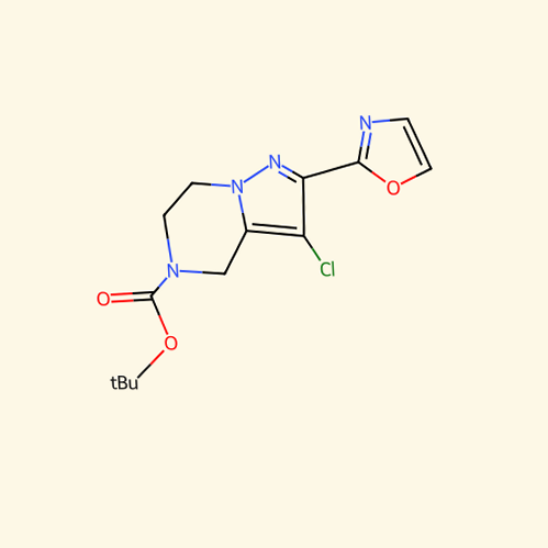 CC(C)(C)OC(=O)N1CCn2nc(-c3ncco3)c(Cl)c2C1